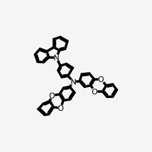 c1ccc2c(c1)Oc1ccc(N(c3ccc(-n4c5ccccc5c5ccccc54)cc3)c3ccc4c(c3)Oc3ccccc3O4)cc1O2